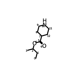 CCC(C)OC(=O)C1CCNCC1